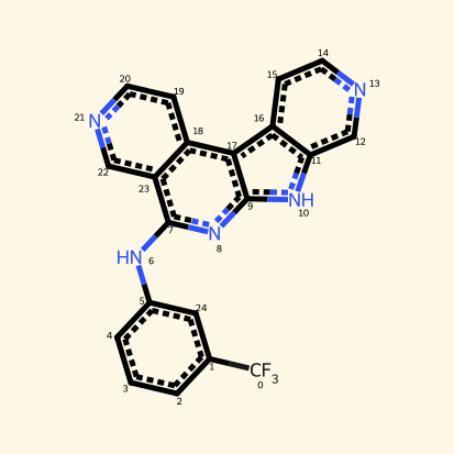 FC(F)(F)c1cccc(Nc2nc3[nH]c4cnccc4c3c3ccncc23)c1